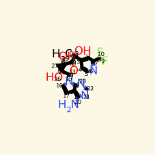 C[C@@](O)(c1ccnc(C(F)F)c1)[C@H]1O[C@@H](n2ccc3c(N)ncnc32)[C@]2(O)C[C@@]12O